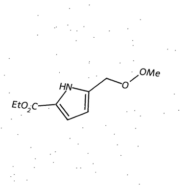 CCOC(=O)c1ccc(COOC)[nH]1